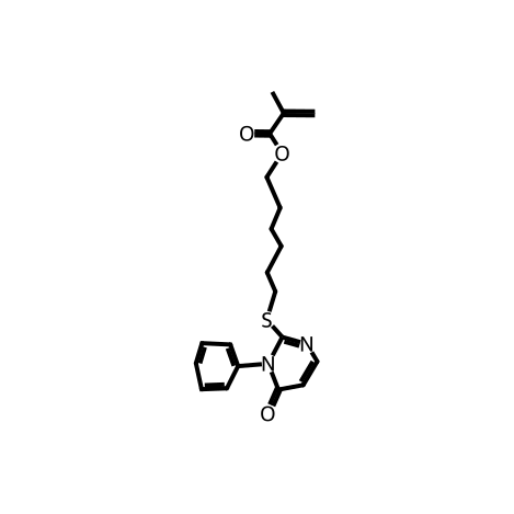 C=C(C)C(=O)OCCCCCCSc1nccc(=O)n1-c1ccccc1